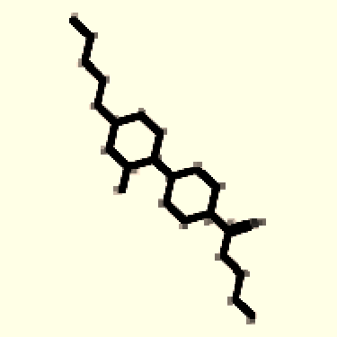 CCCCCC1CCC(C2CCC(C(=O)CCCC)CC2)C(C)C1